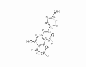 CC(=O)Oc1c(C(C)=O)c(O)cc(C=Cc2ccc(O)cc2)c1C(C)=O